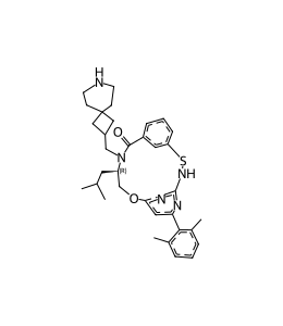 Cc1cccc(C)c1-c1cc2nc(n1)NSc1cccc(c1)C(=O)N(CC1CC3(CCNCC3)C1)[C@H](CC(C)C)CO2